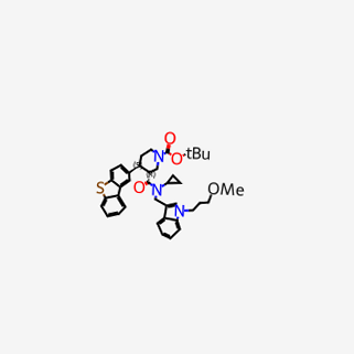 COCCCn1cc(CN(C(=O)[C@H]2CN(C(=O)OC(C)(C)C)CC[C@@H]2c2ccc3sc4ccccc4c3c2)C2CC2)c2ccccc21